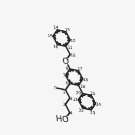 CC(CCCO)c1cc(OCc2ccccc2)ccc1-c1ccccc1